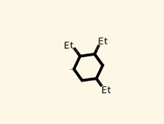 CCC1C[CH]C(CC)C(CC)C1